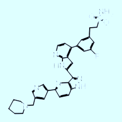 NS(=O)(=O)CCc1cc(F)cc(-c2ccnc3[nH]c(-c4n[nH]c5ccc(-c6cncc(CN7CCCCC7)c6)nc45)cc23)c1